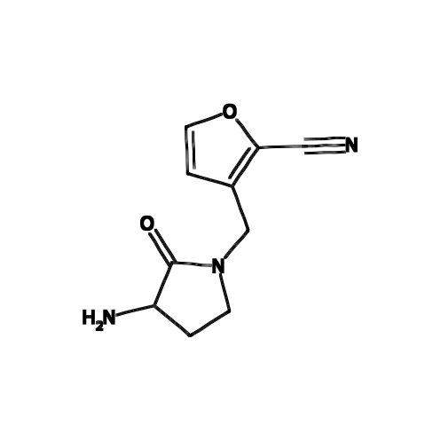 N#Cc1occc1CN1CCC(N)C1=O